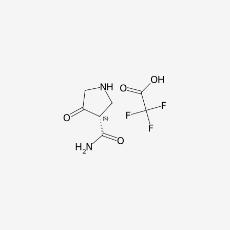 NC(=O)[C@H]1CNCC1=O.O=C(O)C(F)(F)F